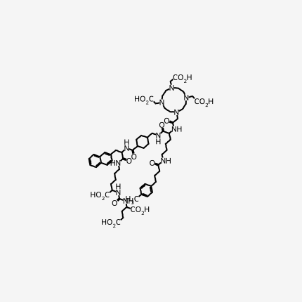 Cc1ccc(CCCC(=O)NCCCCC(NC(=O)CN2CCN(CC(=O)O)CCN(CC(=O)O)CCN(CC(=O)O)CC2)C(=O)NCC2CCC(C(=O)NC(Cc3ccc4ccccc4c3)C(=O)NCCCCC(NC(=O)NC(CCC(=O)O)C(=O)O)C(=O)O)CC2)cc1